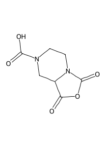 O=C1OC(=O)N2CCN(C(=O)O)CC12